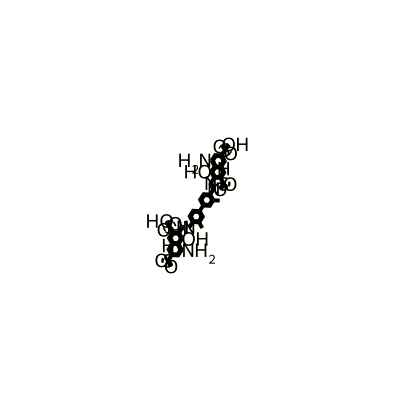 Cc1cc(-c2ccc(N=Nc3c(S(=O)(=O)O)cc4cc([SH](=O)=O)cc(N)c4c3O)c(C)c2)ccc1N=Nc1c([SH](=O)=O)cc2cc(S(=O)(=O)O)cc(N)c2c1O